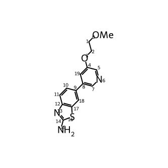 COCCOc1cncc(-c2ccc3nc(N)sc3c2)c1